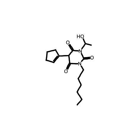 CCCCCCN1C(=O)C(C2=CCCC2)C(=O)N(C(C)O)C1=O